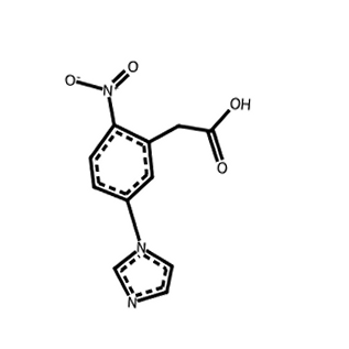 O=C(O)Cc1cc(-n2ccnc2)ccc1[N+](=O)[O-]